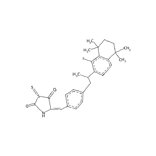 CC(Cc1ccc(C=C2NC(=O)S(=S)C2=O)cc1)c1ccc2c(c1I)C(C)(C)CCC2(C)C